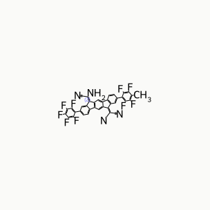 Cc1c(F)c(F)c(-c2ccc3c(c2)C(=C(C#N)C#N)c2cc4c(cc2-3)/C(=C(\N)C#N)c2cc(-c3c(F)c(F)c(F)c(F)c3F)ccc2-4)c(F)c1F